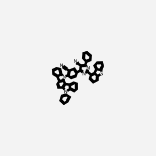 N#Cc1cc(-c2nc(-c3cccc4sc5ccccc5c34)nc(-c3ccccc3)c2C#N)ccc1-n1c2ccccc2c2ccc3c(c4ccccc4n3-c3ccccc3)c21